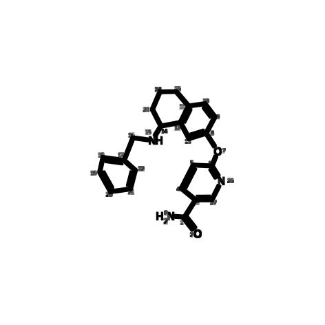 NC(=O)c1ccc(Oc2ccc3c(c2)C(NCc2ccccc2)CCC3)nc1